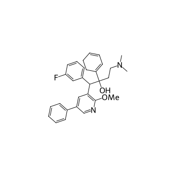 COc1ncc(-c2ccccc2)cc1C(c1cccc(F)c1)C(O)(CCN(C)C)C1=CC=CCC1